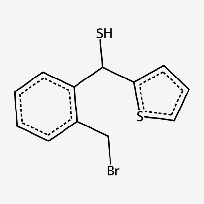 SC(c1cccs1)c1ccccc1CBr